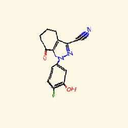 N#Cc1nn(-c2ccc(F)c(O)c2)c2c1CCCC2=O